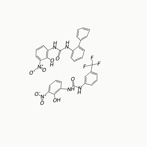 O=C(Nc1cccc(C(F)(F)F)c1)Nc1cccc([N+](=O)[O-])c1O.O=C(Nc1ccccc1-c1ccccc1)Nc1cccc([N+](=O)[O-])c1O